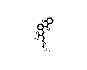 CCOCCC(=Cc1ccccc1C(=O)C1=CC=CCC1=O)C(=O)O